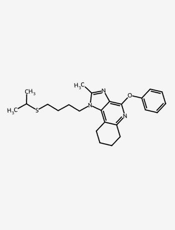 Cc1nc2c(Oc3ccccc3)nc3c(c2n1CCCCSC(C)C)CCCC3